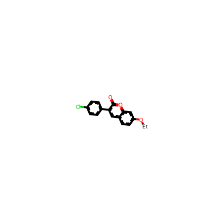 CCOc1ccc2cc(-c3ccc(Cl)cc3)c(=O)oc2c1